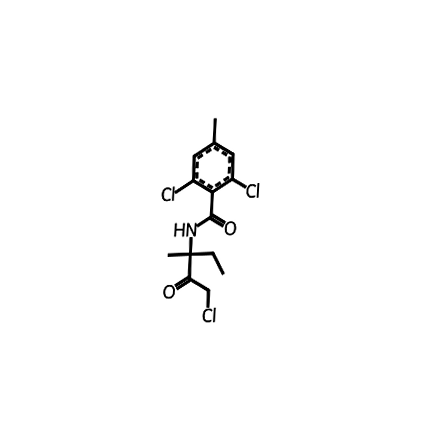 CCC(C)(NC(=O)c1c(Cl)cc(C)cc1Cl)C(=O)CCl